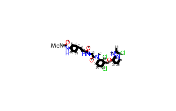 CNC(=O)Nc1ccc(/C=C/C(=O)NCC(=O)N(C)c2ccc(Cl)c(COc3cccn4c(Cl)c(C)nc34)c2Cl)cc1